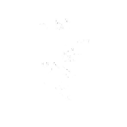 Cc1cc(SCC2=C(C(=O)O)N3C(=O)[C@@H](NC(=O)C(=NOC(=O)c4cc(OC(=O)CCl)c(OC(=O)CCl)cc4C)c4csc(N)n4)[C@H]3SC2)n2nc(C(=O)O)nc2n1